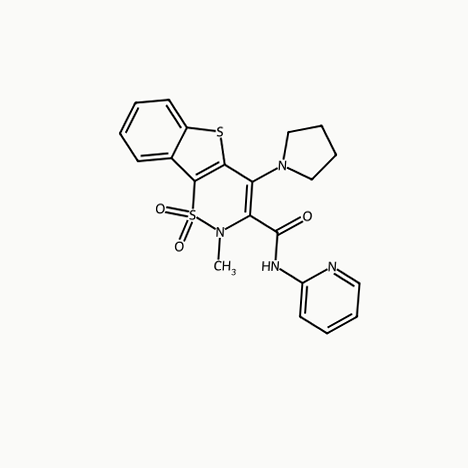 CN1C(C(=O)Nc2ccccn2)=C(N2CCCC2)c2sc3ccccc3c2S1(=O)=O